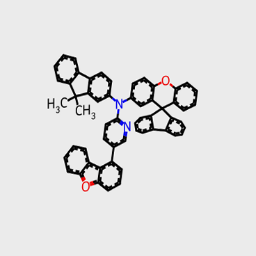 CC1(C)c2ccccc2-c2ccc(N(c3ccc4c(c3)C3(c5ccccc5O4)c4ccccc4-c4ccccc43)c3ccc(-c4cccc5oc6ccccc6c45)cn3)cc21